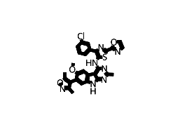 COc1cc2c(cc1-c1c(C)noc1C)[nH]c1nc(C)nc(Nc3sc(-c4ncco4)nc3-c3cccc(Cl)c3)c12